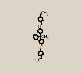 C=Cc1ccc(COc2ccc(C(C)(c3ccccc3)c3ccc(OCc4ccc(C=C)cc4)cc3)cc2)cc1